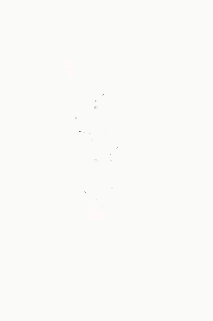 CC(C)=CCC[C@](C)(O)[C@H]1CC[C@@H]2[C@@H]1CC[C@H]1[C@@]2(C)CC[C@H]2C(C)(C)C(=O)CC[C@]12C